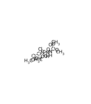 CCOC(=O)c1c(NC(=O)Nc2cc(OC)cc(C(=O)OC)c2)cc(Cl)n1-c1ccc(-c2cccc(OC)c2O)cc1